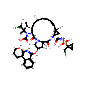 CC[C@@H]1C[C@H](C)CCC=C[C@@H]2C[C@@]2(C(=O)NS(=O)(=O)C2(CF)CC2)NC(=O)[C@@H]2C[C@@H](Oc3nc4c(c5ccccc35)CCCO4)CN2C(=O)[C@H]1N(C(=O)O)C(C)(C)C(F)F